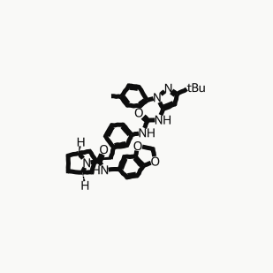 Cc1ccc(-n2nc(C(C)(C)C)cc2NC(=O)Nc2cccc(C[C@H]3C[C@H]4CC[C@@H](C3)N4C(=O)Nc3ccc4c(c3)OCO4)c2)cc1